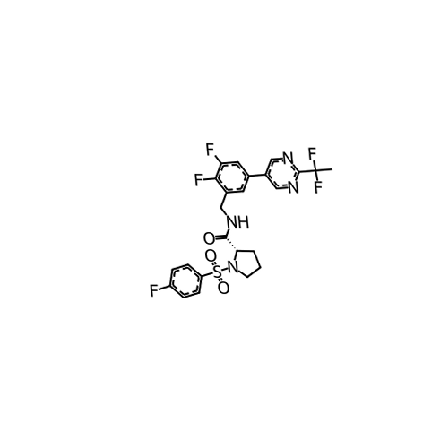 CC(F)(F)c1ncc(-c2cc(F)c(F)c(CNC(=O)[C@@H]3CCCN3S(=O)(=O)c3ccc(F)cc3)c2)cn1